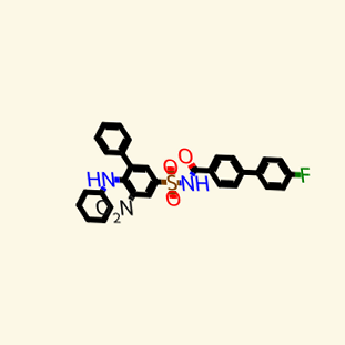 O=C(NS(=O)(=O)c1cc(-c2ccccc2)c(NC2CCCCC2)c([N+](=O)[O-])c1)c1ccc(-c2ccc(F)cc2)cc1